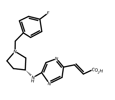 O=C(O)C=Cc1cnc(N[C@@H]2CCN(Cc3ccc(F)cc3)C2)cn1